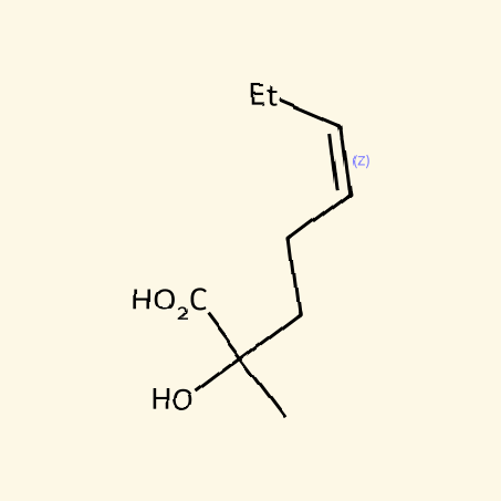 CC/C=C\CCC(C)(O)C(=O)O